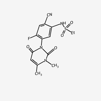 CCS(=O)(=O)Nc1cc(-n2c(=O)cc(C)n(C)c2=O)c(F)cc1C#N